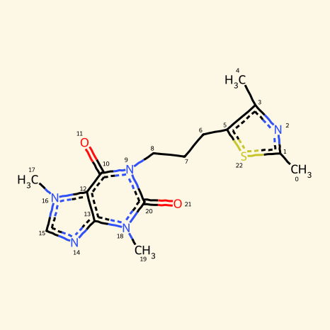 Cc1nc(C)c(CCCn2c(=O)c3c(ncn3C)n(C)c2=O)s1